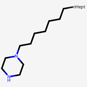 CCCCCCCCCCCCCCN1CCNCC1